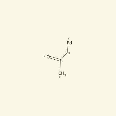 CC(=O)[CH2][Pd]